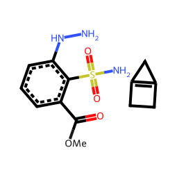 C1CC2=C1C2.COC(=O)c1cccc(NN)c1S(N)(=O)=O